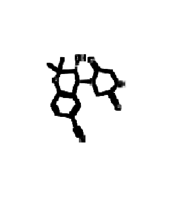 CC1(C)Oc2ccc(C#N)cc2[C@H](N2CC(=O)NCC2=O)[C@H]1O